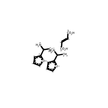 CC(N)c1ccco1.CC(N)c1ccco1.O=C(O)C=CC(=O)O